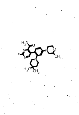 CC1CN(c2ccc(-c3cnc(F)nc3C(N)=O)c(N3CCC(C)(C)CC3)c2)CCO1